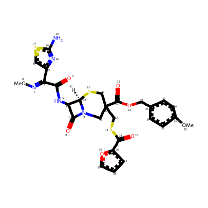 CON=C(C(=O)NC1C(=O)N2CC(CSC(=O)c3ccco3)(C(=O)OCc3ccc(OC)cc3)CS[C@H]12)c1csc(N)n1